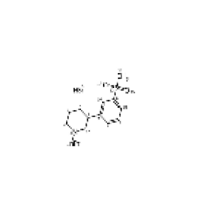 Br.CCCN1CCCC(c2cccc(S(C)(=O)=O)c2)C1